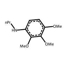 CCCNc1ccc(OC)c(OC)c1OC